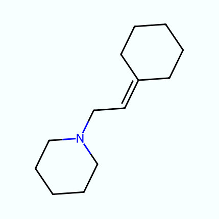 C(CN1CCCCC1)=C1CCCCC1